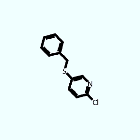 Clc1ccc(SCc2ccccc2)cn1